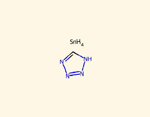 [SnH4].c1nnn[nH]1